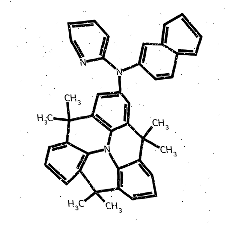 CC1(C)c2cccc3c2N2c4c1cccc4C(C)(C)c1cc(N(c4ccc5ccccc5c4)c4ccccn4)cc(c12)C3(C)C